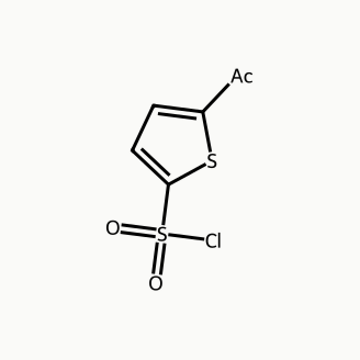 CC(=O)c1ccc(S(=O)(=O)Cl)s1